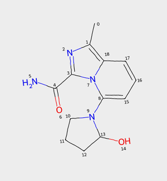 Cc1nc(C(N)=O)n2c(N3CCCC3O)cccc12